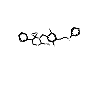 CC1SCC(c2ccccc2)C2(OO2)N1Cc1cc(F)c(CCNc2ccccc2)cc1F